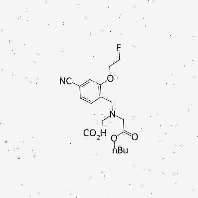 CCCCOC(=O)CN(CC(=O)O)Cc1ccc(C#N)cc1OCCF